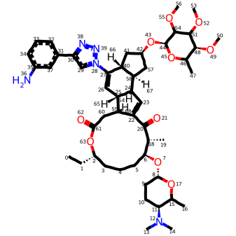 CC[C@H]1CCC[C@H](O[C@H]2CC[C@H](N(C)C)C(C)O2)[C@@H](C)C(=O)C2=C[C@@H]3[C@@H](C=C(n4cc(-c5cccc(N)c5)nn4)[C@@H]4C[C@@H](O[C@@H]5OC(C)[C@H](OC)C(OC)C5OC)C[C@@H]34)[C@@H]2CC(=O)O1